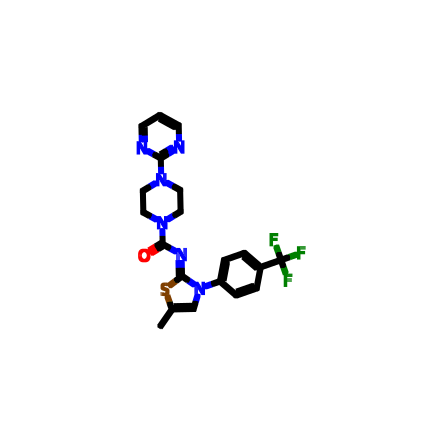 Cc1cn(-c2ccc(C(F)(F)F)cc2)c(=NC(=O)N2CCN(c3ncccn3)CC2)s1